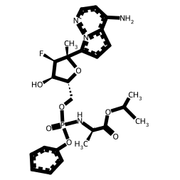 CC(C)OC(=O)[C@@H](C)NP(=O)(OC[C@H]1O[C@@](C)(c2ccc3c(N)ccnn23)[C@H](F)[C@@H]1O)Oc1ccccc1